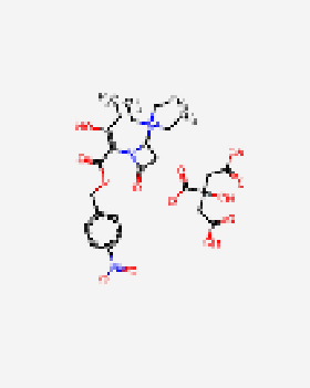 CCC(O)=C(C(=O)OCc1ccc([N+](=O)[O-])cc1)N1C(=O)CC1[N+](CC)(CC)CC.O=C(O)CC(O)(CC(=O)O)C(=O)[O-]